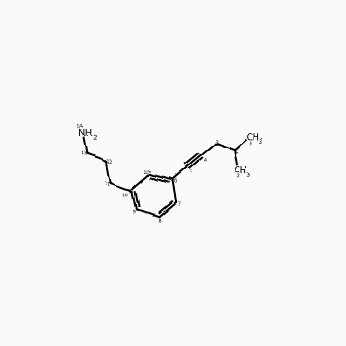 CC(C)CC#Cc1cccc(CCCN)c1